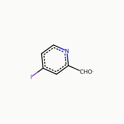 O=[C]c1cc(I)ccn1